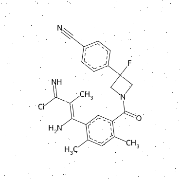 C/C(C(=N)Cl)=C(/N)c1cc(C(=O)N2CC(F)(c3ccc(C#N)cc3)C2)c(C)cc1C